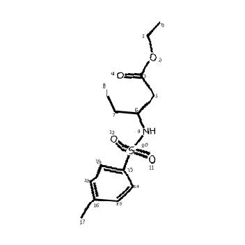 CCOC(=O)CC(CI)NS(=O)(=O)c1ccc(C)cc1